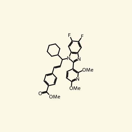 COC(=O)c1ccc(C=CC(C2CCCCC2)n2c(-c3ccc(OC)nc3OC)nc3cc(F)c(F)cc32)cc1